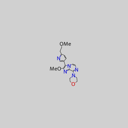 COCCc1ccc(-c2c(OC)nc3c(N4CCOCC4)nccn23)cn1